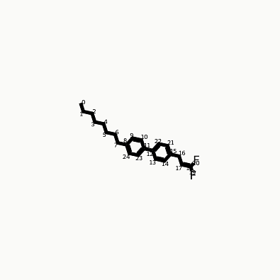 CCCCCCCCc1ccc(-c2ccc(CC=C(F)F)cc2)cc1